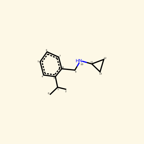 CC(C)c1ccccc1CNC1CC1